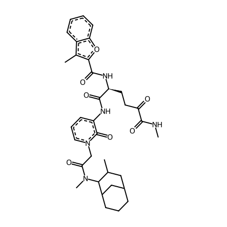 CNC(=O)C(=O)CC[C@H](NC(=O)c1oc2ccccc2c1C)C(=O)Nc1cccn(CC(=O)N(C)C2C(C)CC3CCCC2C3)c1=O